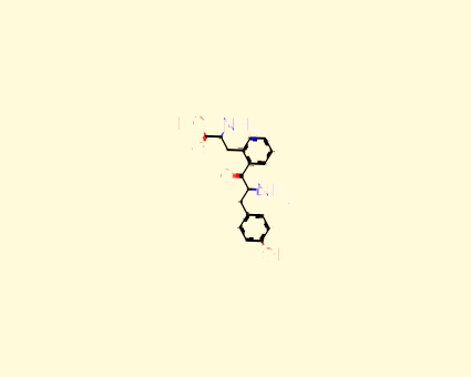 NC(Cc1ccccc1C(=O)C(N)Cc1ccc(O)cc1)C(=O)O